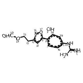 Cl.N=C(N)Nc1ccc(-c2cc(CCOC=O)no2)cc1